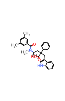 Cc1cc(C)cc(C(=O)N(C)C(C)CC(Cc2c[nH]c3ccccc23)(C(=O)O)c2ccccc2)c1